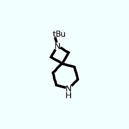 CC(C)(C)N1CC2(CCNCC2)C1